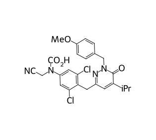 COc1ccc(Cn2nc(Cc3c(Cl)cc(N(CC#N)C(=O)O)cc3Cl)cc(C(C)C)c2=O)cc1